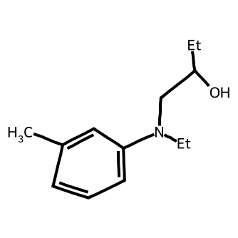 CCC(O)CN(CC)c1cccc(C)c1